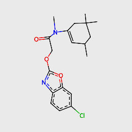 CC1C=C(N(C)C(=O)COc2nc3ccc(Cl)cc3o2)CC(C)(C)C1